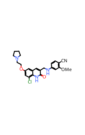 COc1cc(NCc2cc3cc(OCCN4CCCC4)cc(Cl)c3[nH]c2=O)ccc1C#N